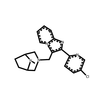 CN1C2CCC1CN(Cc1c(-c3ccc(Cl)cn3)nc3ccccn13)C2